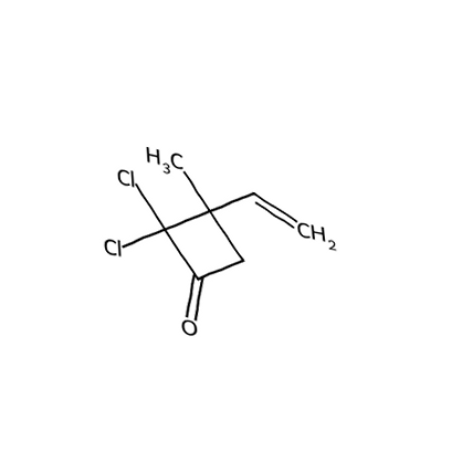 C=CC1(C)CC(=O)C1(Cl)Cl